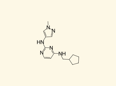 Cn1cc(Nc2nccc(NCC3CCCC3)n2)cn1